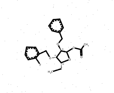 CC[C@H]1OC(OC(C)=O)[C@H](OCc2ccccc2)[C@H]1OCc1ccccc1F